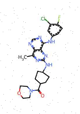 Cc1nc(NC2CCC(C(=O)N3CCOCC3)CC2)nc2c(Nc3ccc(F)c(Cl)c3)ncnc12